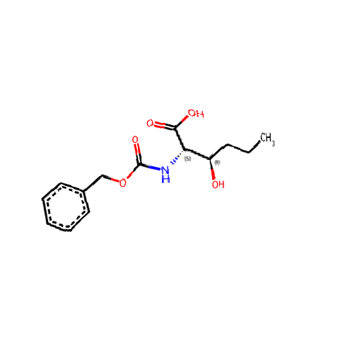 CCC[C@@H](O)[C@H](NC(=O)OCc1ccccc1)C(=O)O